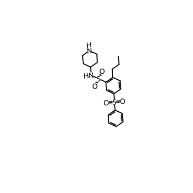 CCCc1ccc(S(=O)(=O)c2ccccc2)cc1S(=O)(=O)NC1CCNCC1